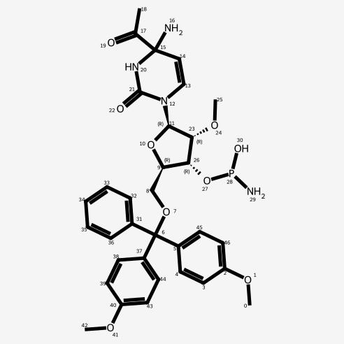 COc1ccc(C(OC[C@H]2O[C@@H](N3C=CC(N)(C(C)=O)NC3=O)[C@H](OC)[C@@H]2OP(N)O)(c2ccccc2)c2ccc(OC)cc2)cc1